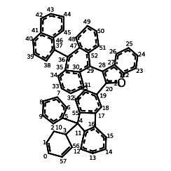 C1=CCC(C2(c3ccccc3)c3ccccc3-c3cc(-c4oc5ccccc5c4-c4c5ccccc5c(-c5cccc6ccccc56)c5ccccc45)ccc32)C=C1